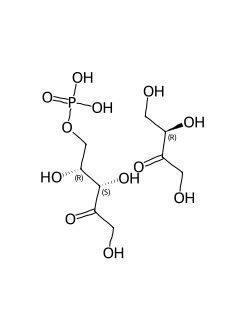 O=C(CO)[C@@H](O)[C@H](O)COP(=O)(O)O.O=C(CO)[C@H](O)CO